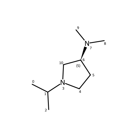 CC(C)N1CC[C@H](N(C)C)C1